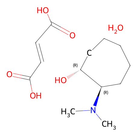 CN(C)[C@@H]1CCCCC[C@H]1O.O.O=C(O)C=CC(=O)O